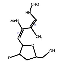 CNC(=N/C1OC(CO)CC1F)/C(C)=C\NC=O